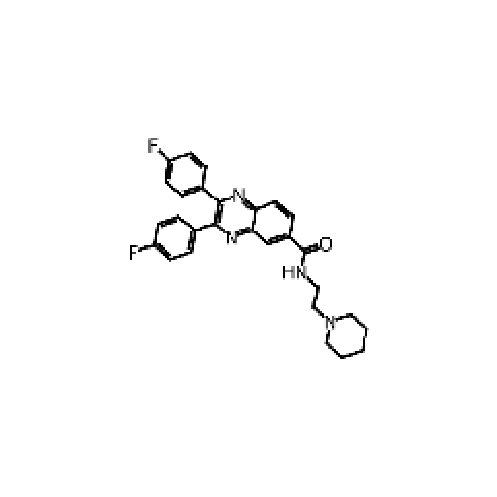 O=C(NCCN1CCCCC1)c1ccc2nc(-c3ccc(F)cc3)c(-c3ccc(F)cc3)nc2c1